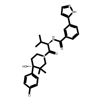 CC(C)[C@@H](NC(=O)c1cccc(-c2ccn[nH]2)c1)C(=O)N1CC[C@](O)(c2ccc(Cl)cc2)C(C)(C)C1